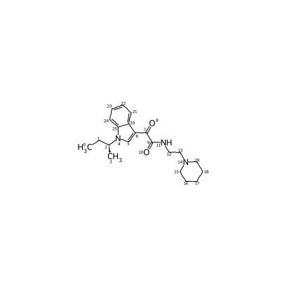 CC[C@H](C)n1cc(C(=O)C(=O)NCCN2CCCCC2)c2ccccc21